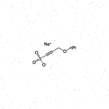 CCCOCC#CS(=O)(=O)[O-].[Na+]